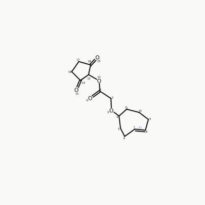 O=C(COC1CC/C=C/CCC1)OC1C(=O)CCC1=O